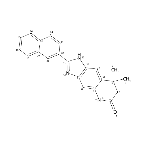 CC1(C)CC(=O)Nc2cc3nc(-c4cnc5ccccc5c4)[nH]c3cc21